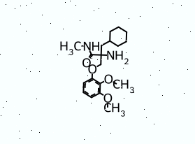 CNC(=O)C(N)(COc1cccc(OC)c1OC)CC1CCCCC1